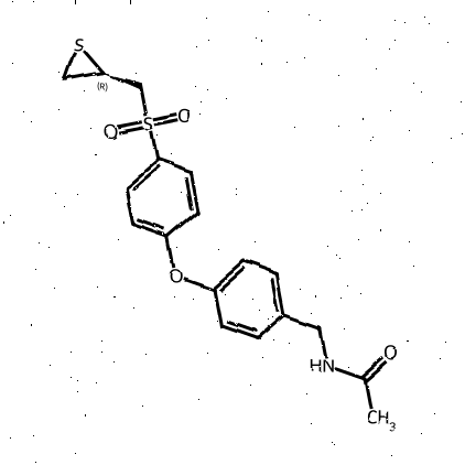 CC(=O)NCc1ccc(Oc2ccc(S(=O)(=O)C[C@H]3CS3)cc2)cc1